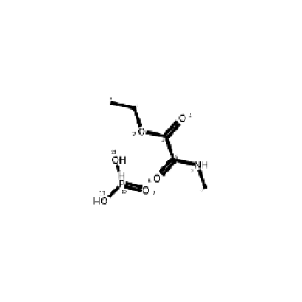 CCOC(=O)C(=O)NC.O=[PH](O)O